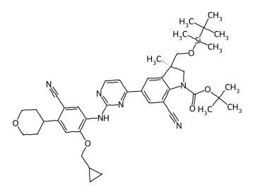 CC(C)(C)OC(=O)N1C[C@](C)(CO[Si](C)(C)C(C)(C)C)c2cc(-c3ccnc(Nc4cc(C#N)c(C5CCOCC5)cc4OCC4CC4)n3)cc(C#N)c21